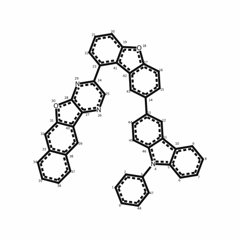 c1ccc(-n2c3ccccc3c3cc(-c4ccc5oc6cccc(-c7cnc8c(n7)oc7cc9ccccc9cc78)c6c5c4)ccc32)cc1